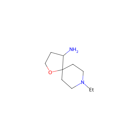 CCN1CCC2(CC1)OCCC2N